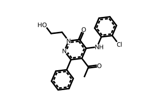 CC(=O)c1c(-c2ccccc2)nn(CCO)c(=O)c1Nc1ccccc1Cl